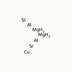 [Al].[Al].[Cu].[MgH2].[MgH2].[Si].[Si]